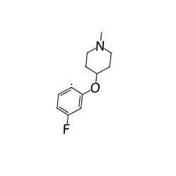 CN1CCC(Oc2[c]ccc(F)c2)CC1